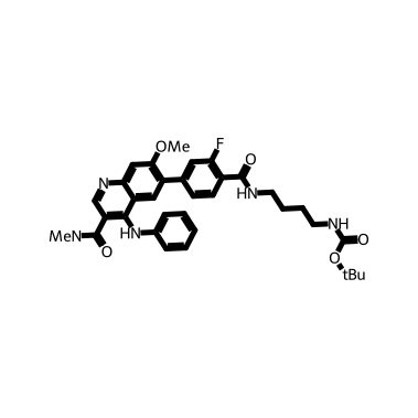 CNC(=O)c1cnc2cc(OC)c(-c3ccc(C(=O)NCCCCNC(=O)OC(C)(C)C)c(F)c3)cc2c1Nc1ccccc1